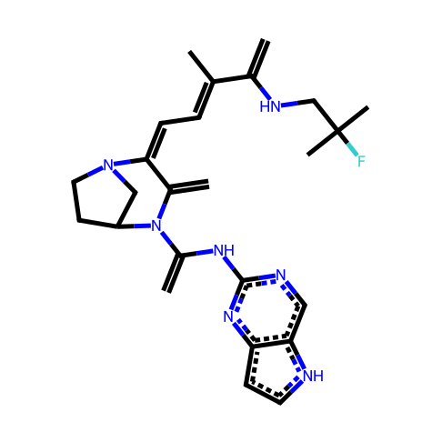 C=C(NCC(C)(C)F)/C(C)=C/C=C1\C(=C)N(C(=C)Nc2ncc3[nH]ccc3n2)C2CCN1C2